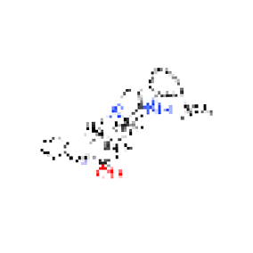 C[C@]12C[C@H]3C[C@@H](O)/C(=C/c4ccccc4)C[C@@H]3CN1CCc1c2[nH]c2c([N+](=O)[O-])cccc12